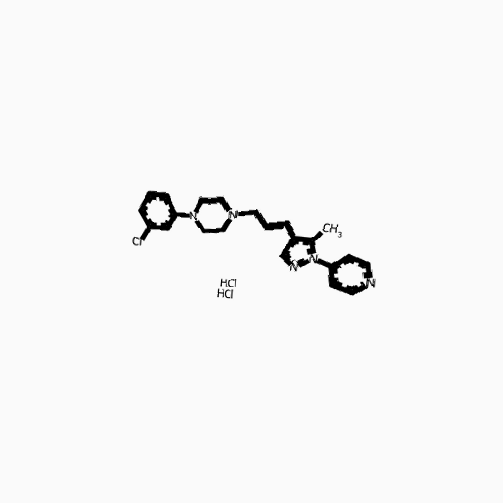 Cc1c(C=CCN2CCN(c3cccc(Cl)c3)CC2)cnn1-c1ccncc1.Cl.Cl